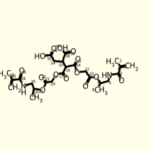 C=C(C)C(=O)NCC(C)OC(=O)COC(=O)C(C(=O)OCC(=O)OC(C)CNC(=O)C(=C)C)C(CC(=O)O)C(=O)O